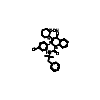 CC(C)(Cc1ccccc1)NC(=O)[C@@H]1c2ccccc2C(=O)N([C@H]2CCCC[C@@H]2O)[C@H]1c1ccc(Cl)cc1